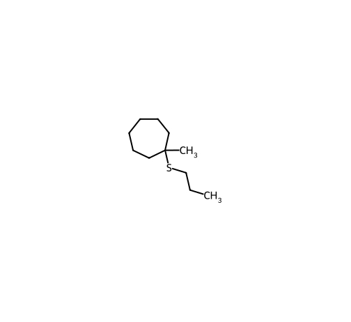 CCCSC1(C)CCCCCC1